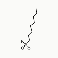 CCCCCCCCS(=O)(=O)F